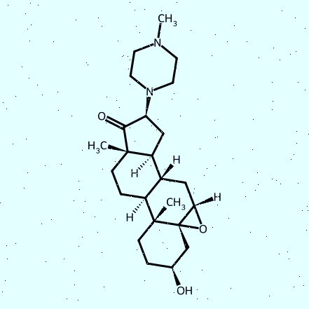 CN1CCN([C@H]2C[C@H]3[C@@H]4C[C@@H]5O[C@@]56C[C@@H](O)CC[C@]6(C)[C@H]4CC[C@]3(C)C2=O)CC1